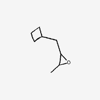 CC1OC1CC1CCC1